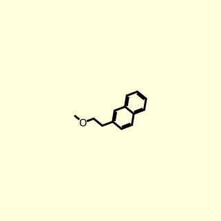 COCCc1ccc2ccccc2c1